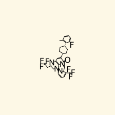 Cc1cccc(F)c1[C@H]1CC[C@H](c2cc3nc(CC(F)(F)F)cnc3n(Cc3ncccc3C(F)(F)F)c2=O)CC1